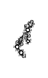 O=C(Oc1cccs1)N(CC1C2CN(S(=O)(=O)c3cccc(-c4ccc(Cl)cc4)c3)CC12)c1ccc(N2CCOCC2)c(F)c1